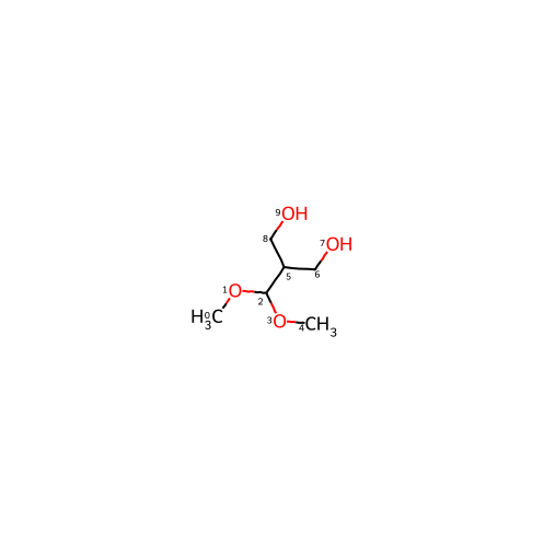 COC(OC)C(CO)CO